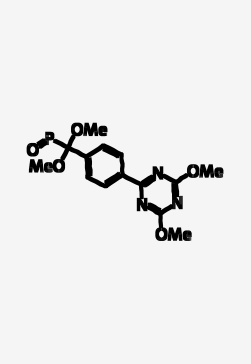 COc1nc(OC)nc(-c2ccc(C(OC)(OC)P=O)cc2)n1